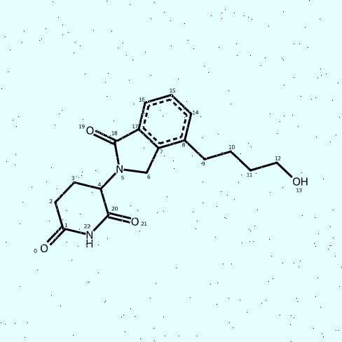 O=C1CCC(N2Cc3c(CCCCO)cccc3C2=O)C(=O)N1